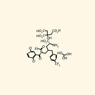 CCC(=O)N(CC(Cc1ccc(C(F)(F)F)cc1)C[C@@H](N)C(=O)O)C(=O)c1cc(Cl)ccc1Cl.O=C(O)CC(O)(CC(=O)O)C(=O)O.OB(O)O